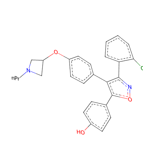 CCCN1CC(Oc2ccc(-c3c(-c4ccccc4Cl)noc3-c3ccc(O)cc3)cc2)C1